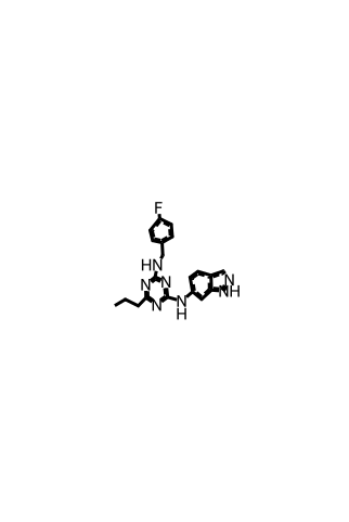 CCCc1nc(NCc2ccc(F)cc2)nc(Nc2ccc3cn[nH]c3c2)n1